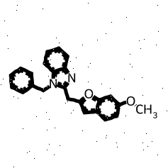 COc1ccc2cc(Cc3nc4ccccc4n3Cc3ccccc3)oc2c1